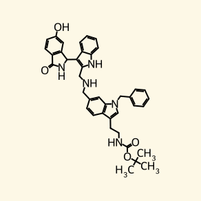 CC(C)(C)OC(=O)NCCc1cn(Cc2ccccc2)c2cc(CNCc3[nH]c4ccccc4c3C3NC(=O)c4ccc(O)cc43)ccc12